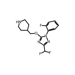 Fc1ccccc1-n1nc(C(F)F)nc1OCC1CCNCC1